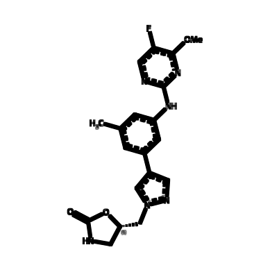 COc1nc(Nc2cc(C)cc(-c3cnn(C[C@@H]4CNC(=O)O4)c3)c2)ncc1F